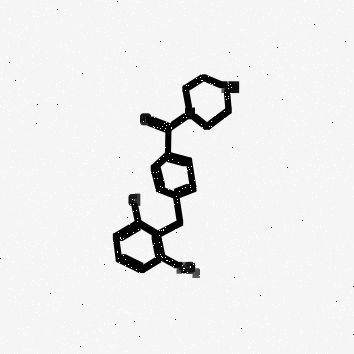 O=C(c1ccc(Cc2c(Cl)cccc2[N+](=O)[O-])cc1)N1CCNCC1